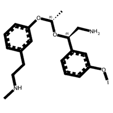 CNCCc1cccc(O[C@H](C)O[C@@H](CN)c2cccc(OI)c2)c1